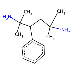 CC(C)(N)CC(c1ccccc1)C(C)(C)N